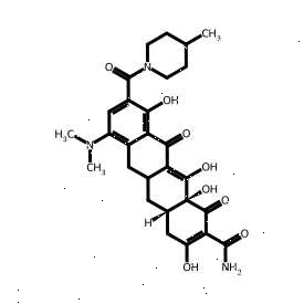 CC1CCN(C(=O)c2cc(N(C)C)c3c(c2O)C(=O)C2=C(O)[C@]4(O)C(=O)C(C(N)=O)=C(O)C[C@@H]4CC2C3)CC1